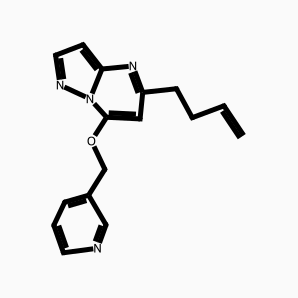 C=CCCc1cc(OCc2cccnc2)n2nccc2n1